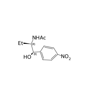 CC[C@@H](NC(C)=O)[C@H](O)c1ccc([N+](=O)[O-])cc1